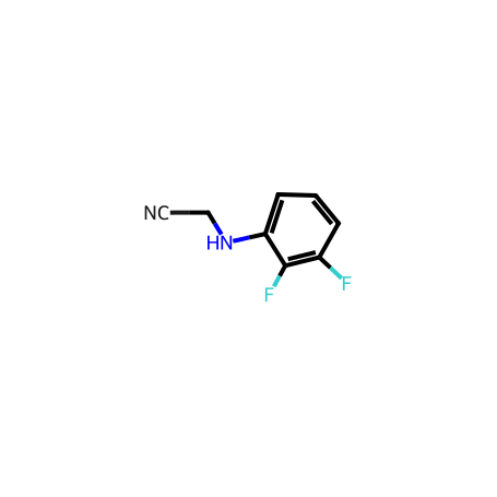 N#CCNc1cccc(F)c1F